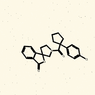 O=C1OC2(CCN(C(=O)C3(c4ccc(Cl)cc4)CCCC3)C2)c2ccccc21